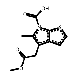 COC(=O)Cc1c(C)n(C(=O)O)c2sccc12